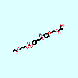 C=CC(=O)OCCCCOC(=O)Oc1ccc(/C=C/C(=O)Oc2ccc(OCCCOC(=O)C(=C)CO)cc2CC)cc1